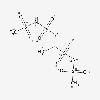 CC(CS(=O)(=O)NS(=O)(=O)C(F)(F)F)S(=O)(=O)NS(C)(=O)=O